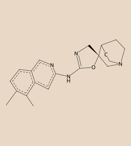 Cc1ccc2cnc(NC3=NC[C@@]4(CN5CCC4CC5)O3)cc2c1C